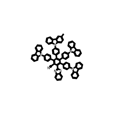 Cc1ccc2c(c1)c1ccccc1n2-c1ccc(-c2c(-c3ccc(-n4c5ccccc5c5ccccc54)cc3)c(C#N)c(-c3nc4ccccc4s3)c(-c3ccc(-n4c5ccccc5c5ccccc54)cc3)c2-c2ccc(-n3c4ccccc4c4ccccc43)cc2)cc1